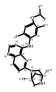 Fc1cc(OC(F)F)c(F)cc1Nc1ncnc2ccc(N3C[C@@H]4C[C@H]3CN4)nc12